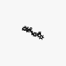 N#Cc1ccccc1CC(=O)N1CCC2(CC1)CC2CNC(=O)c1cc2ccncc2o1